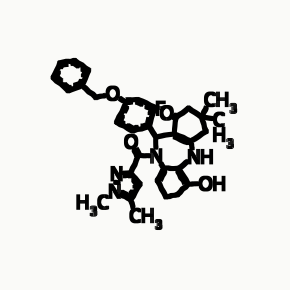 Cc1cc(C(=O)N2C3=CCCC(O)=C3NC3=C(C(=O)CC(C)(C)C3)C2c2ccc(OCc3ccccc3)cc2F)nn1C